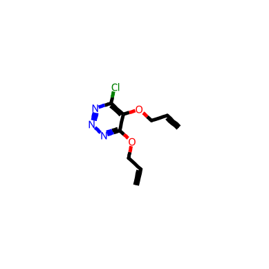 C=CCOc1nnnc(Cl)c1OCC=C